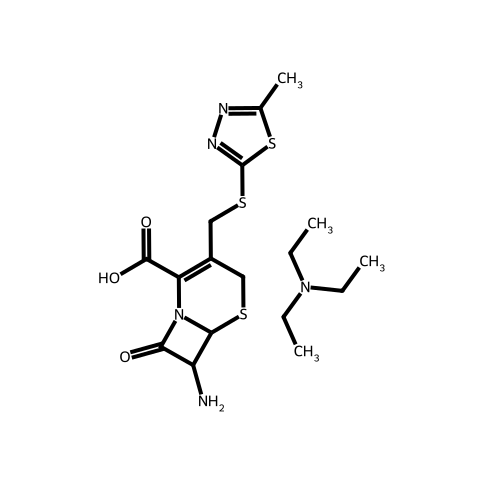 CCN(CC)CC.Cc1nnc(SCC2=C(C(=O)O)N3C(=O)C(N)C3SC2)s1